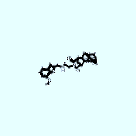 COc1cccc2cc(CNCCN3C(=O)C4CC(C3=O)C3C4C4C5CC6C4C6C53)oc12